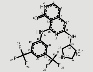 Cl.O=c1[nH]ccc2nc(N[C@H]3CCNC3)nc(Nc3cc(C(F)(F)F)cc(C(F)(F)F)c3)c12